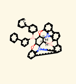 c1ccc(-c2cccc(B(c3cccc(-c4ccccc4)c3)C3C4Oc5cccc6c7ccc8c9c7n(c56)C4[C@@H]4B9c5c-8ccc6c7cccc8c7n(c56)[C@@H]4C3O8)c2)cc1